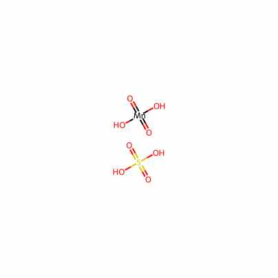 O=S(=O)(O)O.[O]=[Mn](=[O])([OH])[OH]